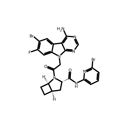 Nc1ncnc2c1c1cc(Br)c(F)cc1n2CC(=O)N1[C@@H]2CC[C@@H]2C[C@H]1C(=O)Nc1cccc(Br)n1